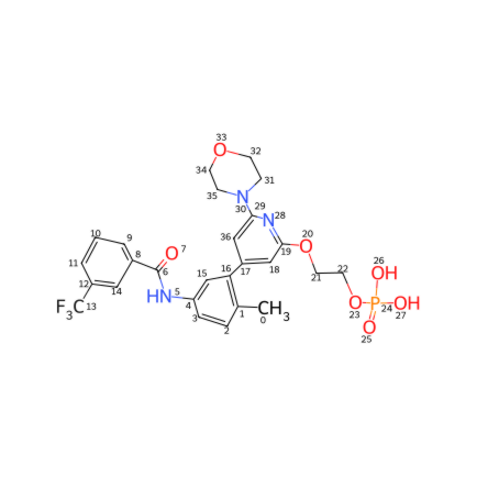 Cc1ccc(NC(=O)c2cccc(C(F)(F)F)c2)cc1-c1cc(OCCOP(=O)(O)O)nc(N2CCOCC2)c1